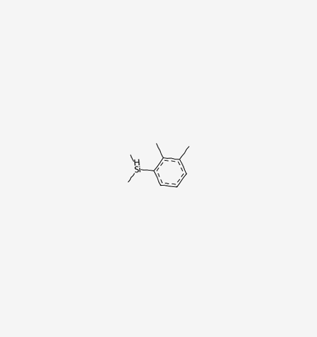 Cc1cccc([SiH](C)C)c1C